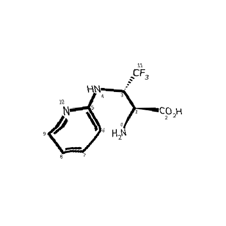 N[C@H](C(=O)O)[C@H](Nc1ccccn1)C(F)(F)F